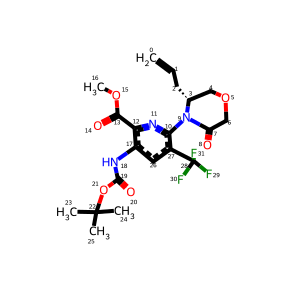 C=CC[C@@H]1COCC(=O)N1c1nc(C(=O)OC)c(NC(=O)OC(C)(C)C)cc1C(F)(F)F